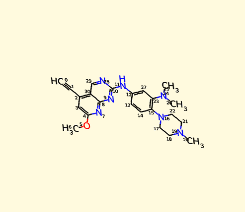 C#Cc1cc(OC)nc2nc(Nc3ccc(N4CCN(C)CC4)c(N(C)C)c3)ncc12